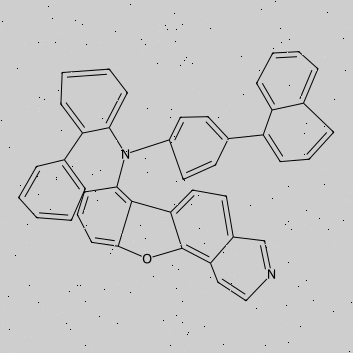 c1ccc(-c2ccccc2N(c2ccc(-c3cccc4ccccc34)cc2)c2cccc3oc4c5ccncc5ccc4c23)cc1